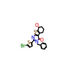 O=C1CCCc2c1sc1nc(-c3ccc(Br)s3)n(Cc3ccccc3)c(=O)c21